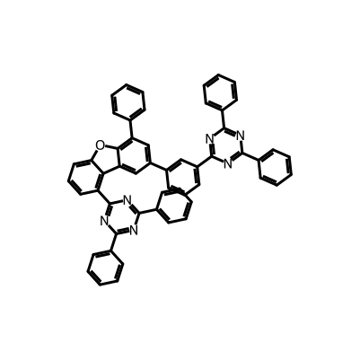 c1ccc(-c2nc(-c3ccccc3)nc(-c3cccc(-c4cc(-c5ccccc5)c5oc6cccc(-c7nc(-c8ccccc8)nc(-c8ccccc8)n7)c6c5c4)c3)n2)cc1